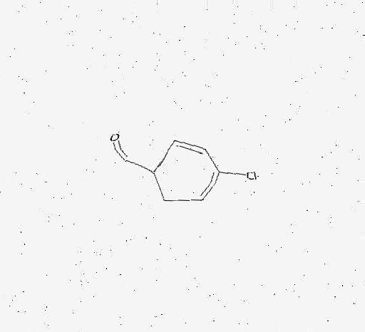 O=CC1C=CC(Cl)=CC1